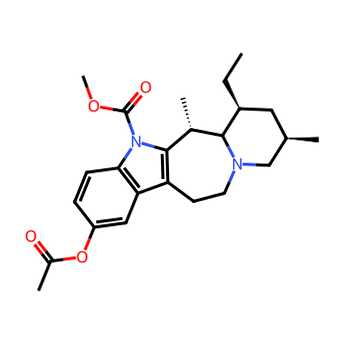 CC[C@H]1C[C@@H](C)CN2CCc3c(n(C(=O)OC)c4ccc(OC(C)=O)cc34)[C@H](C)C12